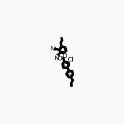 CCCc1ccc(OC(=O)c2ccc(C34CCC(CCC)(CC3)CC4)cc2Cl)c(C#N)c1C#N